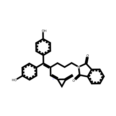 C=C1C/C1=C/C(CCCN1C(=O)c2ccccc2C1=O)=C(c1ccc(O)cc1)c1ccc(O)cc1